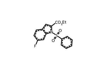 CCOC(=O)c1cc2ccc(F)cc2n1S(=O)(=O)c1ccccc1